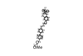 COCCOCc1cnc(-c2ccc(CCCOc3ccc4c(c3)CCN(S(C)(=O)=O)C4)cc2)nc1